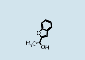 C[C@H](O)c1cc2ccccc2o1